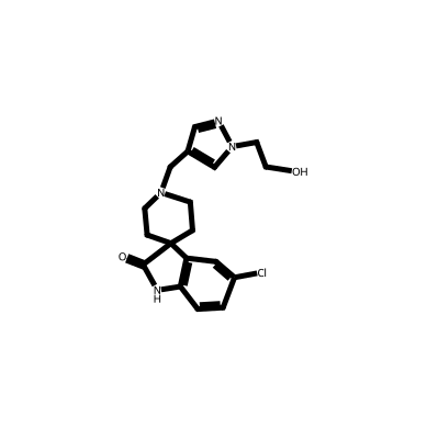 O=C1Nc2ccc(Cl)cc2C12CCN(Cc1cnn(CCO)c1)CC2